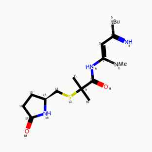 CN/C(=C\C(=N)C(C)(C)C)NC(=O)C(C)(C)SC[C@@H]1CCC(=O)N1